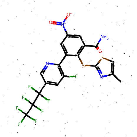 Cc1csc(Sc2c(C(N)=O)cc([N+](=O)[O-])cc2-c2ncc(C(F)(F)C(F)(F)C(F)(F)F)cc2F)n1